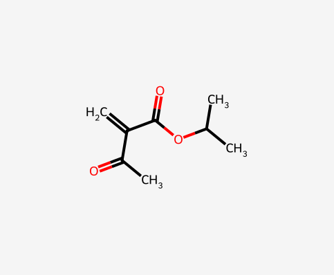 C=C(C(C)=O)C(=O)OC(C)C